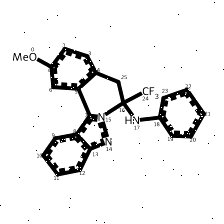 COc1ccc2c(c1)-c1c3ccccc3nn1C(Nc1ccccc1)(C(F)(F)F)C2